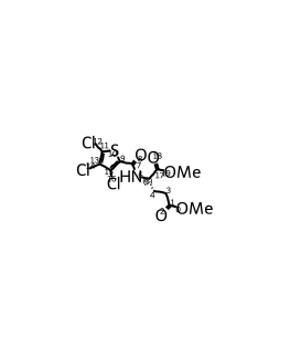 COC(=O)CC[C@H](NC(=O)c1sc(Cl)c(Cl)c1Cl)C(=O)OC